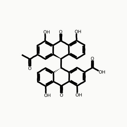 CC(=O)c1cc(O)c2c(c1)[C@H]([C@H]1c3cccc(O)c3C(=O)c3c(O)cc(C(=O)O)cc31)c1cccc(O)c1C2=O